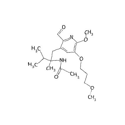 COCCCOc1cc(CC(C)(NC(C)=O)C(C)C)c(C=O)nc1OC